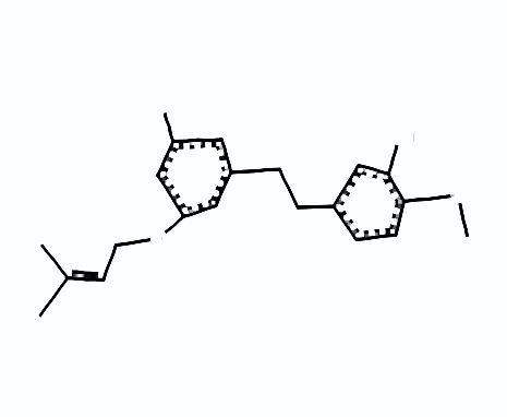 COc1ccc(CCc2cc(O)cc(OCC=C(C)C)c2)cc1O